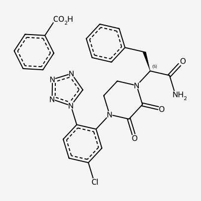 NC(=O)[C@H](Cc1ccccc1)N1CCN(c2cc(Cl)ccc2-n2cnnn2)C(=O)C1=O.O=C(O)c1ccccc1